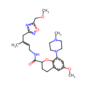 COCc1nc(C/C(C)=C/CNC(=O)C2CCc3cc(OC)cc(N4CCN(C)CC4)c3O2)no1